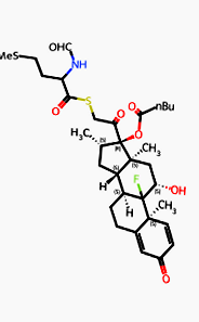 CCCCC(=O)O[C@]1(C(=O)CSC(=O)C(CCSC)NC=O)[C@@H](C)C[C@H]2[C@@H]3CCC4=CC(=O)C=C[C@]4(C)C3(F)[C@@H](O)C[C@@]21C